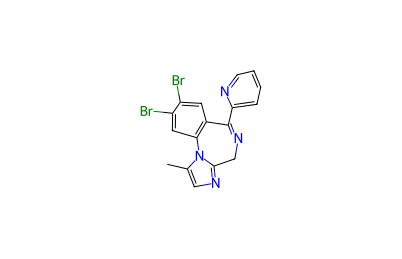 Cc1cnc2n1-c1cc(Br)c(Br)cc1C(c1ccccn1)=NC2